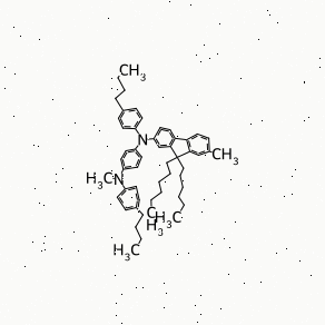 CCCCCCC1(CCCCCC)c2cc(C)ccc2-c2ccc(N(c3ccc(CCCC)cc3)c3ccc(N(C)c4ccc(CCCC)cc4)cc3)cc21